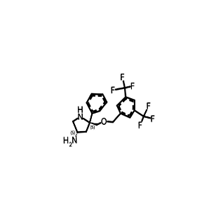 N[C@@H]1CN[C@](COCc2cc(C(F)(F)F)cc(C(F)(F)F)c2)(c2ccccc2)C1